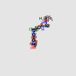 CC(C)(C)OC(=O)NCC[N+]1(CCNC(=O)C2CCC(C(F)(F)c3cc(Cl)nc(N4CCN(S(=O)(=O)c5ccc6c(c5)OC[C@H]5[C@H](CO)OC(=O)N65)CC4)c3)CC2)CCCC1